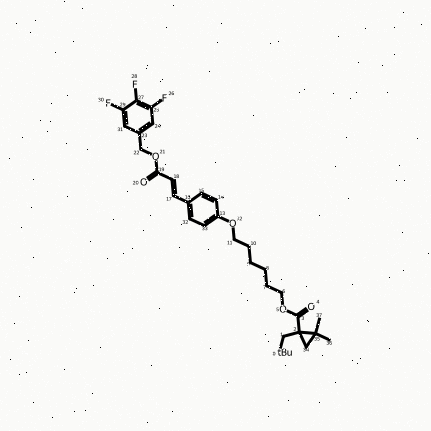 CC(C)(C)CC1(C(=O)OCCCCCCOc2ccc(/C=C/C(=O)OCc3cc(F)c(F)c(F)c3)cc2)CC1(C)C